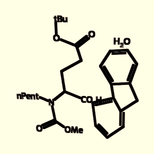 CCCCCN(C(=O)OC)C(CCC(=O)OC(C)(C)C)C(=O)O.O.c1ccc2c(c1)Cc1ccccc1-2